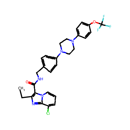 CCc1nc2c(Cl)cccn2c1C(=O)NCc1ccc(N2CCN(c3ccc(OC(F)(F)F)cc3)CC2)cc1